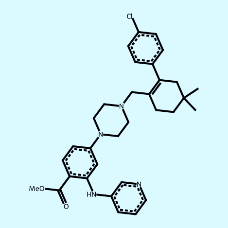 COC(=O)c1ccc(N2CCN(CC3=C(c4ccc(Cl)cc4)CC(C)(C)CC3)CC2)cc1Nc1cccnc1